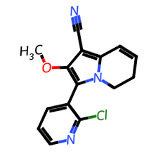 COc1c(C#N)c2n(c1-c1cccnc1Cl)CCC=C2